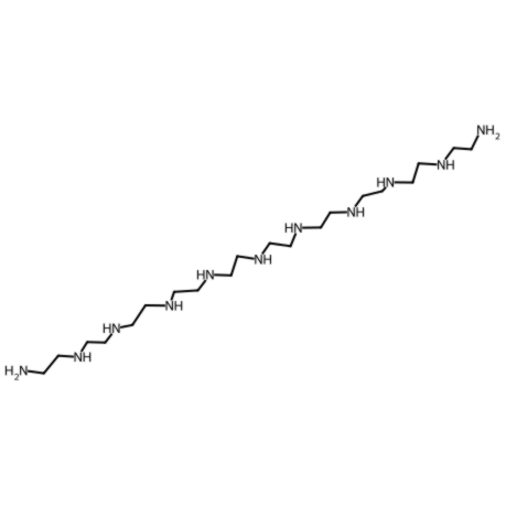 NCCNCCNCCNCCNCCNCCNCCNCCNCCNCCN